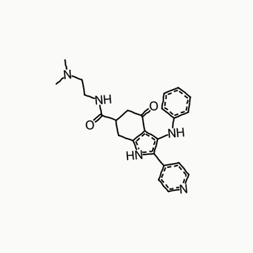 CN(C)CCNC(=O)C1CC(=O)c2c([nH]c(-c3ccncc3)c2Nc2ccccc2)C1